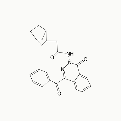 O=C(CC1CC2CCC1C2)Nn1nc(C(=O)c2ccccc2)c2ccccc2c1=O